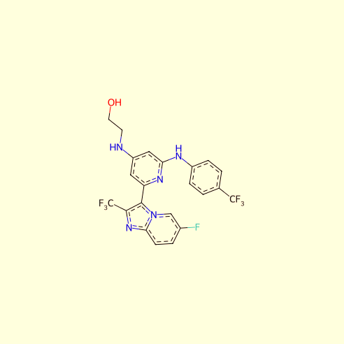 OCCNc1cc(Nc2ccc(C(F)(F)F)cc2)nc(-c2c(C(F)(F)F)nc3ccc(F)cn23)c1